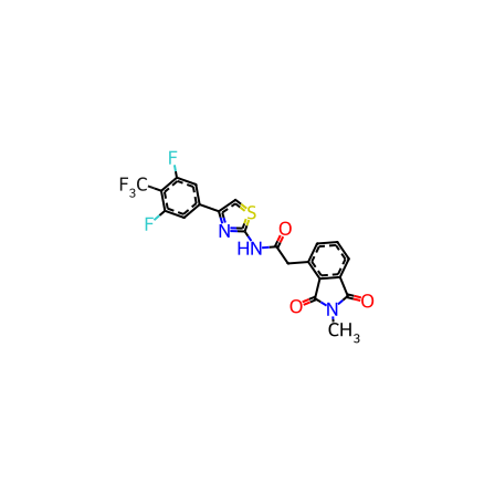 CN1C(=O)c2cccc(CC(=O)Nc3nc(-c4cc(F)c(C(F)(F)F)c(F)c4)cs3)c2C1=O